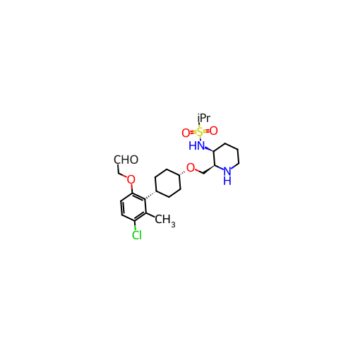 Cc1c(Cl)ccc(OCC=O)c1[C@H]1CC[C@@H](OC[C@@H]2NCCC[C@@H]2NS(=O)(=O)C(C)C)CC1